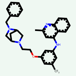 Cc1cc(Nc2cc(OCCN3CC4CC3CN4Cc3ccccc3)cc(C(F)(F)F)c2)c2ccccc2n1